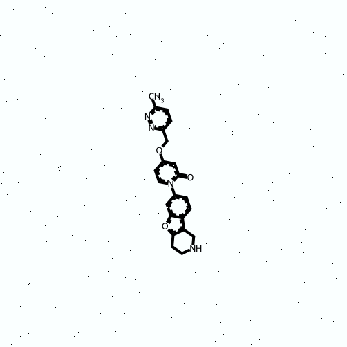 Cc1ccc(COc2ccn(-c3ccc4c5c(oc4c3)CCNC5)c(=O)c2)nn1